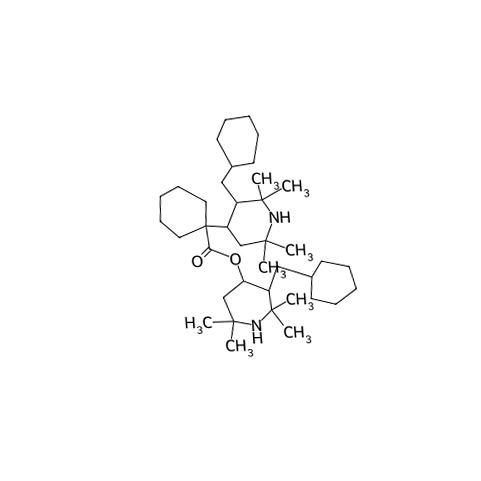 CC1(C)CC(OC(=O)C2(C3CC(C)(C)NC(C)(C)C3CC3CCCCC3)CCCCC2)C(CC2CCCCC2)C(C)(C)N1